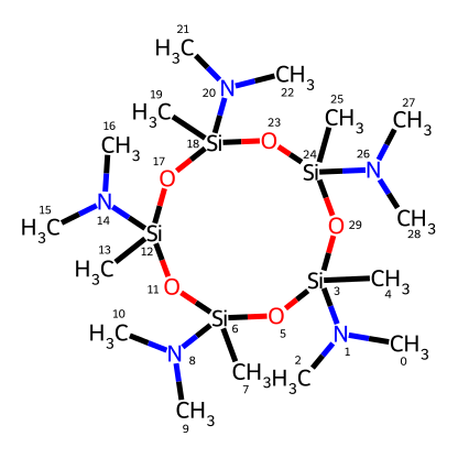 CN(C)[Si]1(C)O[Si](C)(N(C)C)O[Si](C)(N(C)C)O[Si](C)(N(C)C)O[Si](C)(N(C)C)O1